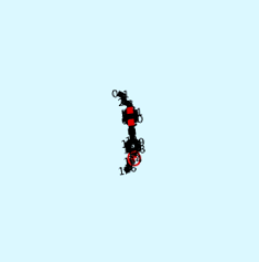 CCCCC12CCC(C#Cc3ccc(OCCC)cc3)(CC1)CC2